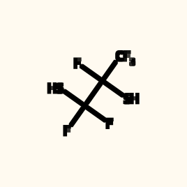 FC(F)(F)C(F)(S)C(F)(F)S